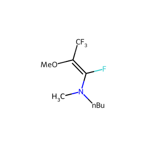 CCCCN(C)/C(F)=C(\OC)C(F)(F)F